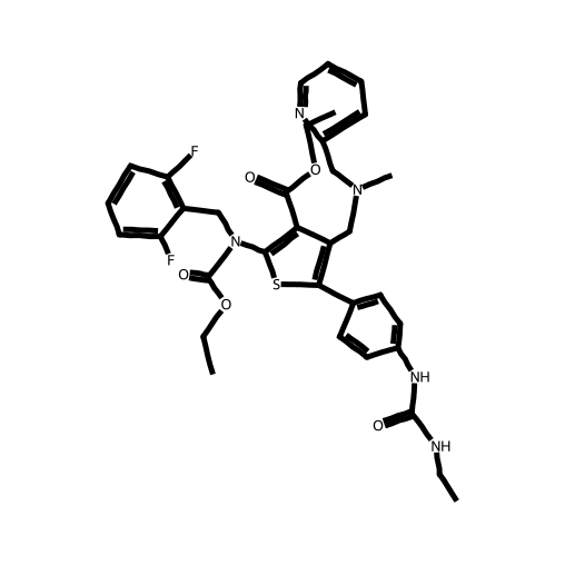 CCNC(=O)Nc1ccc(-c2sc(N(Cc3c(F)cccc3F)C(=O)OCC)c(C(=O)OCC)c2CN(C)Cc2ccccn2)cc1